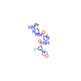 Cc1ncc(NC(=O)c2cc(F)cc(N3CCOCC3)c2)cc1C(=O)Nc1ccc(NC(C)C)nc1